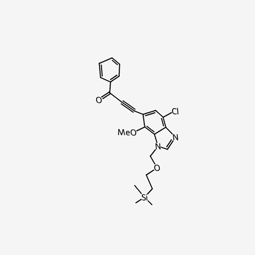 COc1c(C#CC(=O)c2ccccc2)cc(Cl)c2ncn(COCC[Si](C)(C)C)c12